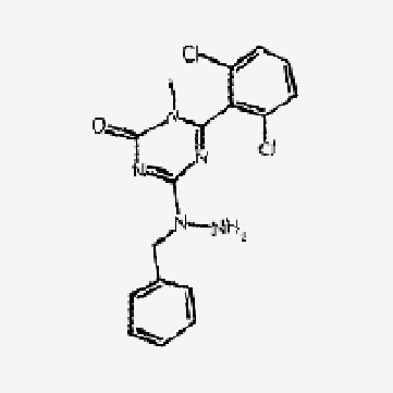 Cn1c(-c2c(Cl)cccc2Cl)nc(N(N)Cc2ccccc2)nc1=O